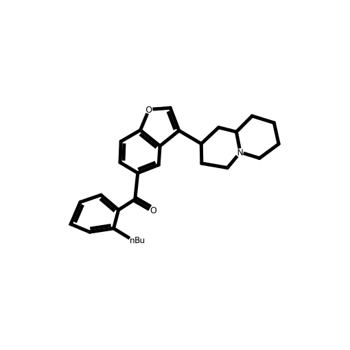 CCCCc1ccccc1C(=O)c1ccc2occ(C3CCN4CCCCC4C3)c2c1